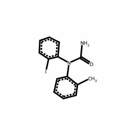 Cc1ccccc1N(C(N)=O)c1ccccc1I